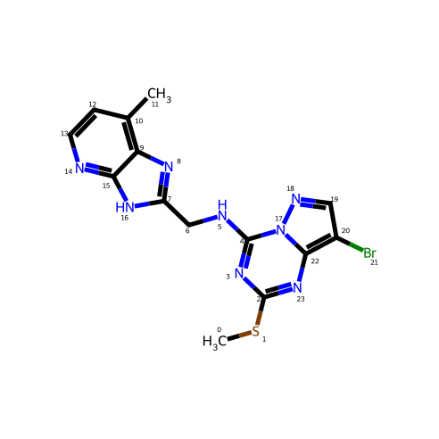 CSc1nc(NCc2nc3c(C)ccnc3[nH]2)n2ncc(Br)c2n1